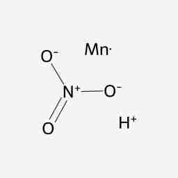 O=[N+]([O-])[O-].[H+].[Mn]